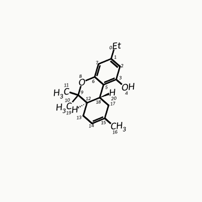 CCc1cc(O)c2c(c1)OC(C)(C)[C@@H]1CC=C(C)C[C@@H]21